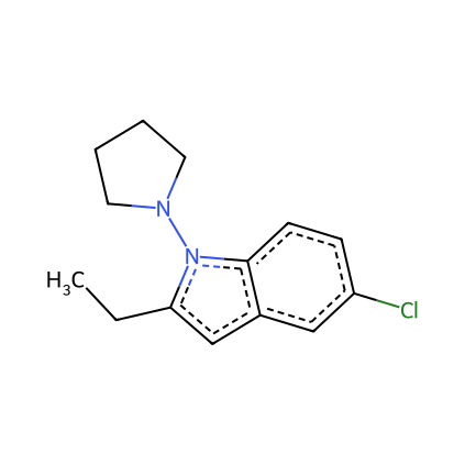 CCc1cc2cc(Cl)ccc2n1N1CCCC1